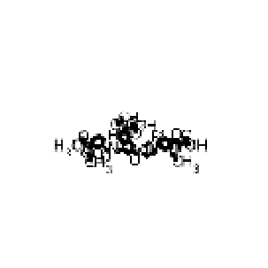 CCn1cc(C(=O)O)c(=O)c2cc(F)c(N3CCN(C(=O)C(CCCNC(=O)c4cccc(OC(C)=O)c4OC(C)=O)Cc4cccc(OC(C)=O)c4OC(C)=O)CC3)cc21